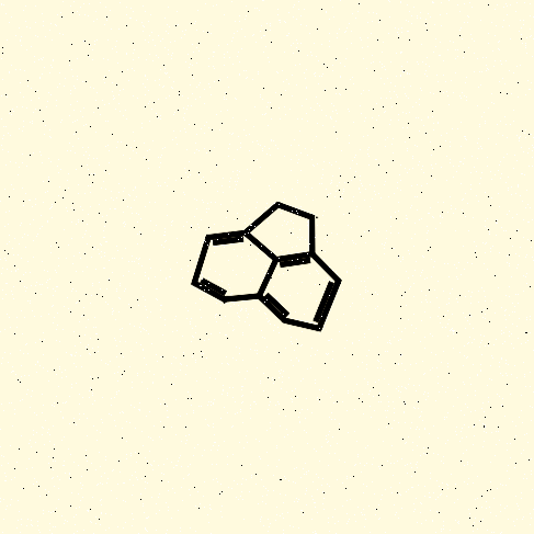 [c]1ccc2c3c(cccc13)[CH]C2